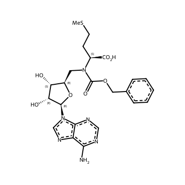 CSCC[C@@H](C(=O)O)N(C[C@H]1O[C@@H](n2cnc3c(N)ncnc32)[C@H](O)[C@@H]1O)C(=O)OCc1ccccc1